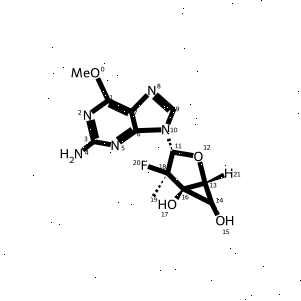 COc1nc(N)nc2c1ncn2[C@@H]1O[C@@H]2C(O)[C@]2(O)[C@@]1(C)F